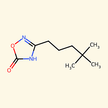 CC(C)(C)CCCc1noc(=O)[nH]1